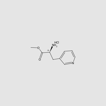 COC(=O)[C@@H](N)Cc1cccnc1.Cl